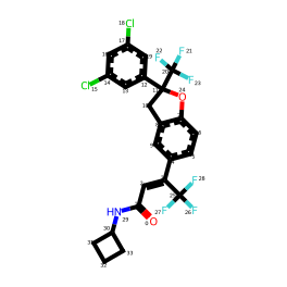 O=C(C=C(c1ccc2c(c1)CC(c1cc(Cl)cc(Cl)c1)(C(F)(F)F)O2)C(F)(F)F)NC1CCC1